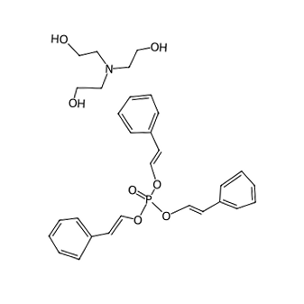 O=P(OC=Cc1ccccc1)(OC=Cc1ccccc1)OC=Cc1ccccc1.OCCN(CCO)CCO